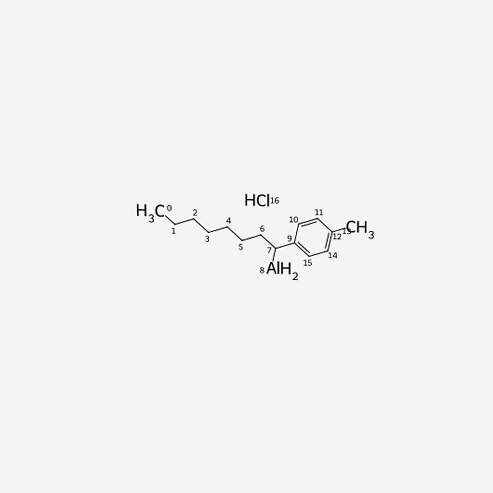 CCCCCCC[CH]([AlH2])c1ccc(C)cc1.Cl